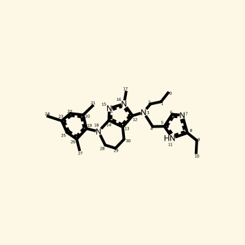 CCCN(Cc1cnc(CC)[nH]1)c1c2c(nn1C)N(c1c(C)cc(C)cc1C)CCC2